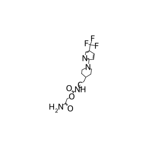 NC(=O)COC(=O)NCCC1CCN(c2ccc(C(F)(F)F)cn2)CC1